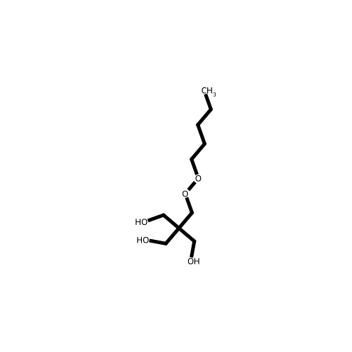 CCCCCOOCC(CO)(CO)CO